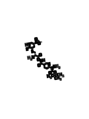 CC(C)(C)OC(=O)N(N)c1ccc(C(=O)NOC(=O)[C@@H](N)CSc2cc([N+](=O)[O-])c[nH]c2=S)cn1